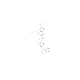 CCOC(=O)CN(c1ccccc1)c1ccc2c(c1)CCCN2C(=O)CCc1ccc(C(=O)OC)cc1C(=N)N